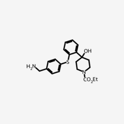 CCOC(=O)N1CCC(O)(c2ccccc2Sc2ccc(CN)cc2)CC1